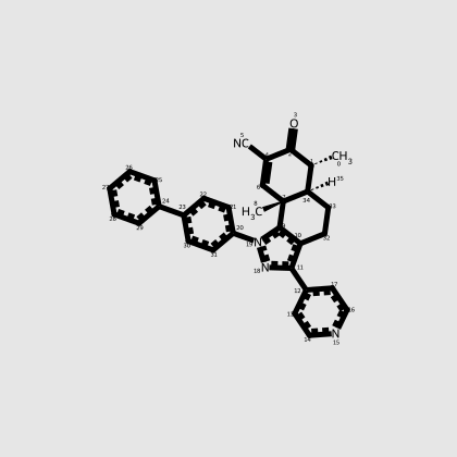 C[C@H]1C(=O)C(C#N)=C[C@@]2(C)c3c(c(-c4ccncc4)nn3-c3ccc(-c4ccccc4)cc3)CC[C@H]12